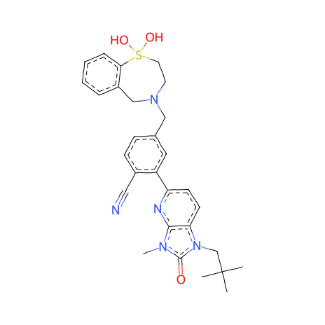 Cn1c(=O)n(CC(C)(C)C)c2ccc(-c3cc(CN4CCS(O)(O)c5ccccc5C4)ccc3C#N)nc21